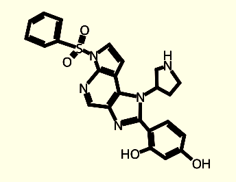 O=S(=O)(c1ccccc1)n1ccc2c1ncc1nc(-c3ccc(O)cc3O)n(C3CCNC3)c12